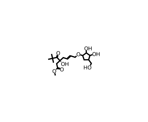 COC(=O)C[C@](O)(C/C=C/COC1CC(CO)C(O)C1O)C(=O)C(C)(C)C